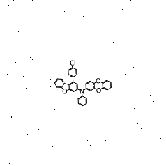 Clc1ccc(-c2cc(N(c3ccccc3)c3ccc4c(c3)Oc3ccccc3O4)cc3oc4ccccc4c23)cc1